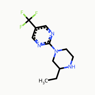 CCC1CN(c2ncc(C(F)(F)F)cn2)CCN1